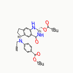 C#CCN(c1ccc(C(=O)OC(C)(C)C)cc1)[C@@H]1CCc2cc3c(cc21)C(=O)N[C@@H](COC(=O)C(C)(C)C)N3